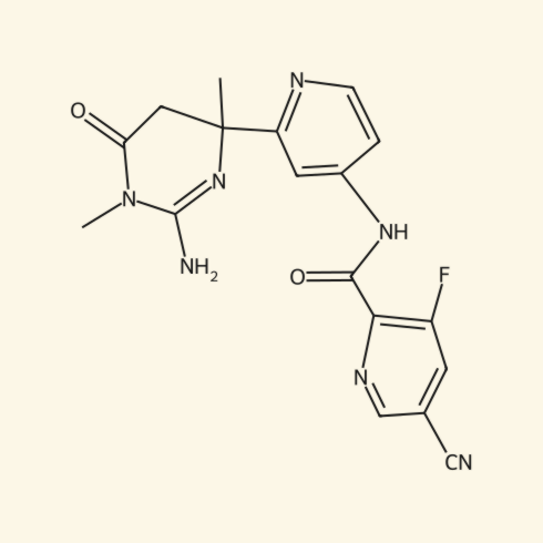 CN1C(=O)CC(C)(c2cc(NC(=O)c3ncc(C#N)cc3F)ccn2)N=C1N